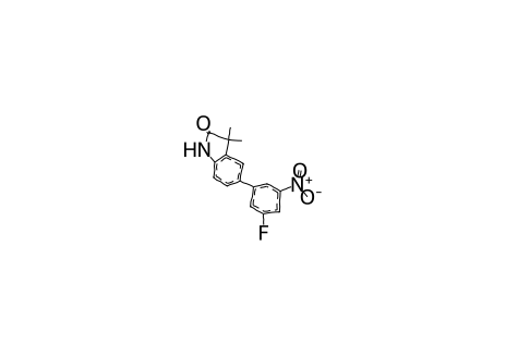 CC1(C)C(=O)Nc2ccc(-c3cc(F)cc([N+](=O)[O-])c3)cc21